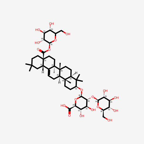 CC1(C)CC[C@]2(C(=O)O[C@@H]3OC(CO)[C@@H](O)[C@H](O)[C@H]3O)CC[C@]3(C)C(=CC[C@@H]4[C@@]5(C)CC[C@H](O[C@@H]6O[C@H](C(=O)O)[C@@H](O)[C@H](O)[C@H]6O[C@@H]6O[C@H](CO)[C@@H](O)[C@H](O)[C@H]6O)C(C)(C)[C@@H]5CC[C@]43C)[C@@H]2C1